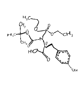 CCOP(=O)(OCC)N(C(=O)OC(C)(C)C)[C@@H](Cc1ccc(O)cc1)C(=O)O